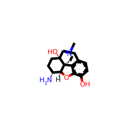 CN1CC[C@]23c4c5ccc(O)c4O[C@H]2[C@H](N)CC[C@@]3(O)C1C5